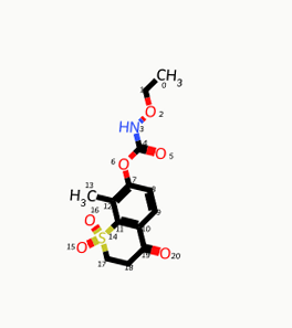 CCONC(=O)Oc1ccc2c(c1C)S(=O)(=O)CCC2=O